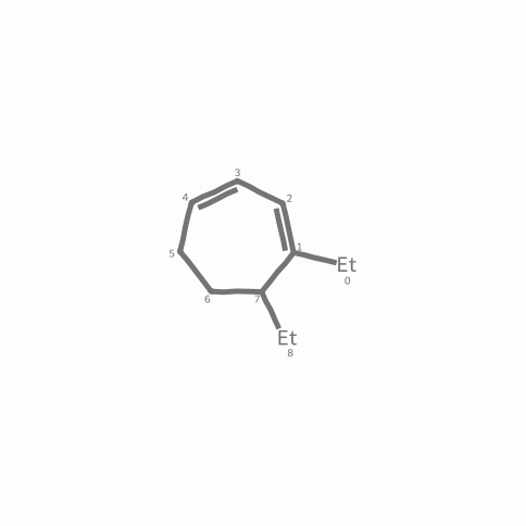 CCC1=CC=CCCC1CC